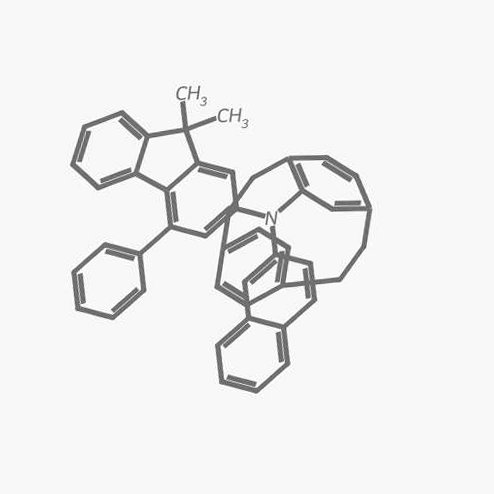 CC1(C)c2ccccc2-c2c(-c3ccccc3)cc(N(c3ccc4ccccc4c3)c3cc4ccc3CCc3ccc(cc3)CC4)cc21